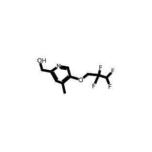 Cc1cc(CO)ncc1OCC(F)(F)C(F)F